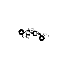 Cc1ccccc1N1CCN(C2CCN(Cc3ccccc3C(F)(F)F)CC2)CC1.Cl